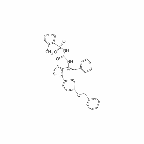 Cc1ccccc1S(=O)(=O)NC(=O)N[C@@H](Cc1ccccc1)c1nccn1-c1ccc(OCc2ccccc2)cc1